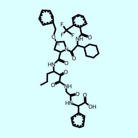 CCCC(NC(=O)C1C[C@@H](OCc2ccccc2)CN1C(=O)C(NC(=O)c1ccccc1C(F)(F)F)C1CCCCC1)C(=O)C(=O)NCC(=O)NC(C(=O)O)c1ccccc1